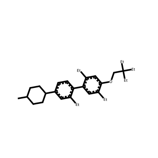 CCc1cc(-c2ccc(C3CCC(C)CC3)cc2CC)c(CC)cc1OCC(CC)(CC)CC